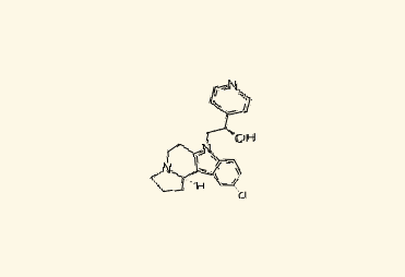 O[C@@H](Cn1c2c(c3cc(Cl)ccc31)[C@H]1CCCN1CC2)c1ccncc1